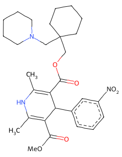 COC(=O)C1=C(C)NC(C)=C(C(=O)OCC2(CN3CCCCC3)CCCCC2)C1c1cccc([N+](=O)[O-])c1